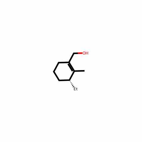 CC[C@@H]1CCCC(CO)=C1C